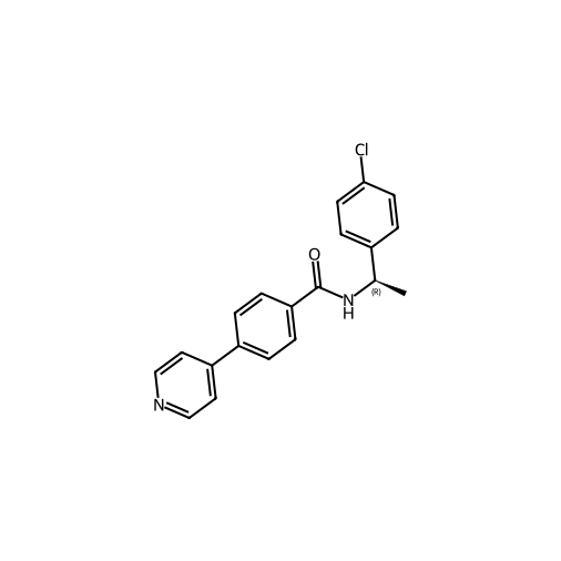 C[C@@H](NC(=O)c1ccc(-c2ccncc2)cc1)c1ccc(Cl)cc1